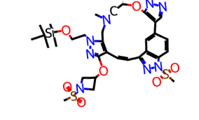 C[C@H]1CN(C)Cc2c(c(OC3CN(S(C)(=O)=O)C3)nn2CCO[Si](C)(C)C(C)(C)C)/C=C\c2nn(S(C)(=O)=O)c3ccc(cc23)-c2cnn(C)c2O1